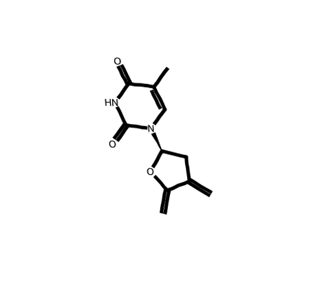 C=C1C[C@H](n2cc(C)c(=O)[nH]c2=O)OC1=C